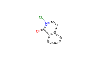 O=c1c2ccccc2ccn1Cl